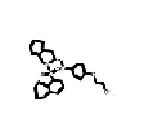 CCCOc1ccc(OC[C@H]2Cc3ccccc3CN2S(=O)(=O)c2cccc3ccccc23)cc1